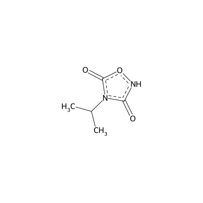 CC(C)n1c(=O)[nH]oc1=O